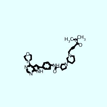 CN(C)C(=O)C#CCN1CCCC(N2CC[C@@H](C(=O)Nc3ccc(-c4cc5c(N6CCOCC6)ncnc5[nH]4)cc3)C2)C1